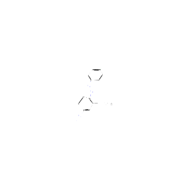 COc1cc(N)ccc1N=Nc1ccc(Cl)cc1